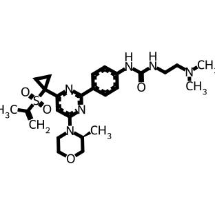 C=C(C)S(=O)(=O)C1(c2cc(N3CCOC[C@@H]3C)nc(-c3ccc(NC(=O)NCCN(C)C)cc3)n2)CC1